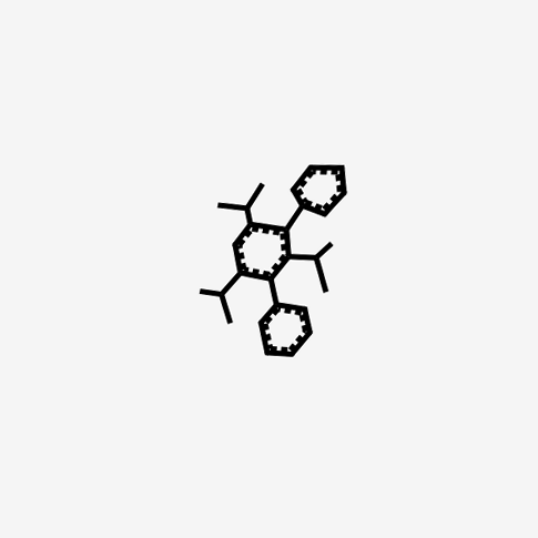 CC(C)c1cc(C(C)C)c(-c2ccccc2)c(C(C)C)c1-c1ccccc1